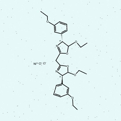 CCOc1cccc([C@H]2N=C(CC3=N[C@H](c4cccc(OCC)c4)C(OCC)O3)OC2OCC)c1.[Cl-].[Cl-].[Ni+2]